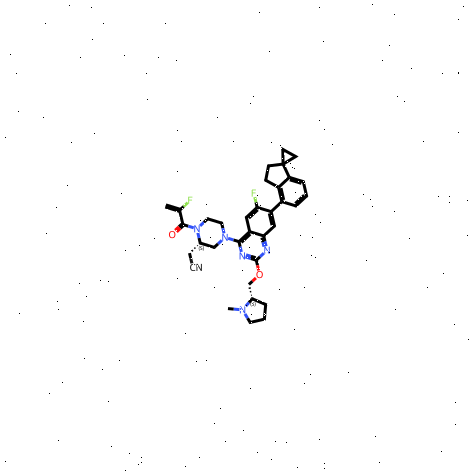 C=C(F)C(=O)N1CCN(c2nc(OC[C@@H]3CCCN3C)nc3cc(-c4cccc5c4CCC54CC4)c(F)cc23)C[C@@H]1CC#N